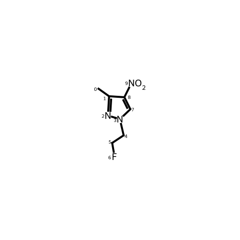 Cc1nn(CCF)cc1[N+](=O)[O-]